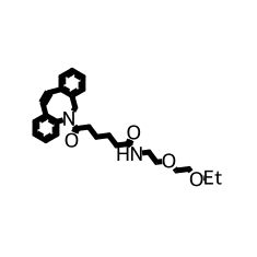 CCOCCOCCNC(=O)CCCCC(=O)N1Cc2ccccc2C#Cc2ccccc21